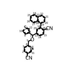 N#Cc1ccc(COC(c2ccsc2)c2ccc(C#N)c(-c3cccc4ccccc34)c2)nc1